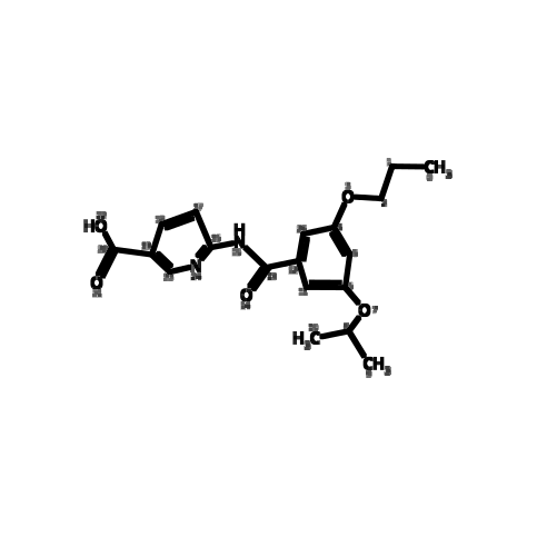 CCCOc1cc(OC(C)C)cc(C(=O)Nc2ccc(C(=O)O)cn2)c1